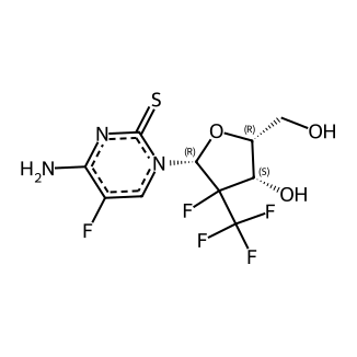 Nc1nc(=S)n([C@@H]2O[C@H](CO)[C@H](O)C2(F)C(F)(F)F)cc1F